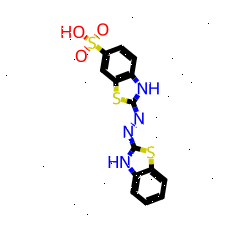 O=S(=O)(O)c1ccc2c(c1)SC(N=NC1Nc3ccccc3S1)N2